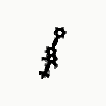 Fc1cc2cc(C#CC3CCCCO3)ccc2c(F)c1C#CC(F)(F)F